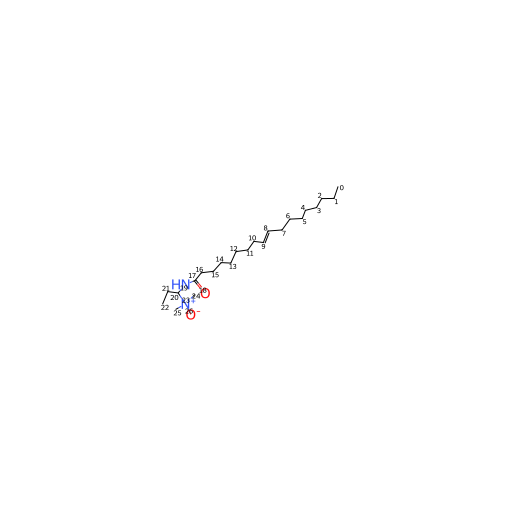 CCCCCCCCC=CCCCCCCCC(=O)NC(CC)[N+](C)(C)[O-]